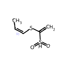 C=C(S/C=C\C)[SH](=O)=O